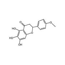 COc1ccc(C2CC(=O)c3c(cc(O)c(O)c3O)O2)cc1